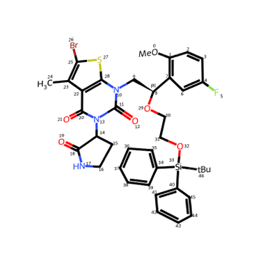 COc1ccc(F)cc1[C@H](Cn1c(=O)n(C2CCNC2=O)c(=O)c2c(C)c(Br)sc21)OCCO[Si](c1ccccc1)(c1ccccc1)C(C)(C)C